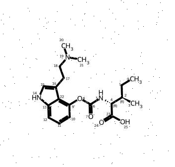 CC[C@@H](C)[C@@H](NC(=O)Oc1cccc2[nH]cc(CCN(C)C)c12)C(=O)O